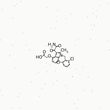 Cc1c(C(=O)C(N)=O)c2c(OCC(=O)O)cccc2n1Cc1c(Cl)cccc1Cl